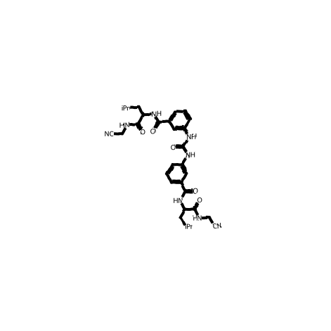 CC(C)CC(NC(=O)c1cccc(NC(=O)Nc2cccc(C(=O)NC(CC(C)C)C(=O)NCC#N)c2)c1)C(=O)NCC#N